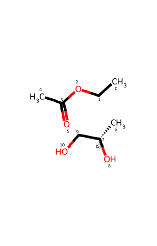 CCOC(C)=O.C[C@H](O)CO